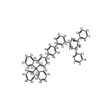 c1ccc(-c2nc(-c3ccccc3)nc(-c3cccc(-c4ccc(-c5ccc6c(c5)-c5ccccc5C6(c5ccccc5)c5ccccc5)cc4)c3)n2)cc1